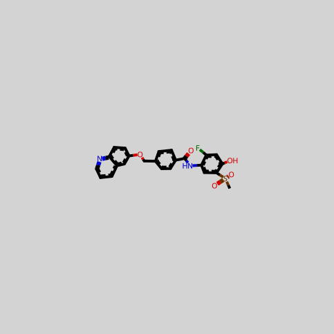 CS(=O)(=O)c1cc(NC(=O)c2ccc(COc3ccc4ncccc4c3)cc2)c(F)cc1O